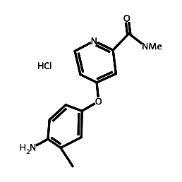 CNC(=O)c1cc(Oc2ccc(N)c(C)c2)ccn1.Cl